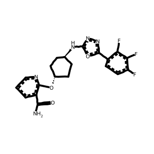 NC(=O)c1cccnc1O[C@H]1CC[C@H](Nc2nnc(-c3ccc(F)c(F)c3F)o2)CC1